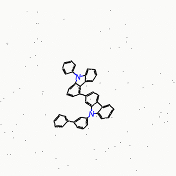 c1ccc(-c2cccc(-n3c4ccccc4c4ccc(-c5cccc6c5c5ccccc5n6-c5ccccc5)cc43)c2)cc1